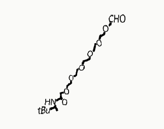 CC(NC(=O)COCCOCCOCCOCCOCCOCC=O)C(C)(C)C